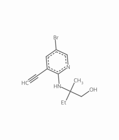 C#Cc1cc(Br)cnc1NC(C)(CC)CO